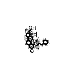 C[C@@]12C(=CC(=O)C=C1OC(=O)CCc1ccccc1)CC[C@@H]1[C@@H]2[C@@H](O)C[C@@]2(C)[C@H]1CC[C@]2(O)C(=O)CO